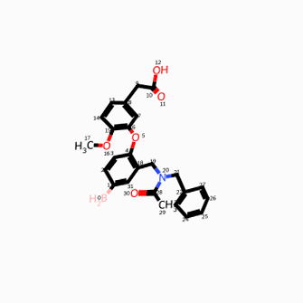 Bc1ccc(Oc2cc(CC(=O)O)ccc2OC)c(CN(Cc2ccccc2)C(C)=O)c1